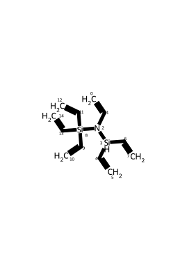 C=CN([SiH](C=C)C=C)[Si](C=C)(C=C)C=C